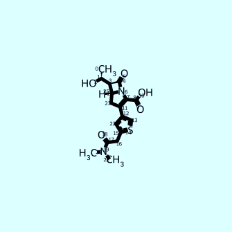 C[C@@H](O)[C@H]1C(=O)N2C(C(=O)O)=C(c3csc(CC(=O)N(C)C)c3)C[C@H]12